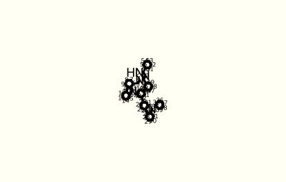 N=C(/N=C(\N=C\c1cccc2c3ccccc3n(-c3cccc(-c4ccc5c6ccccc6n(-c6ccccc6)c5c4)c3)c12)c1ccccc1)c1ccccc1